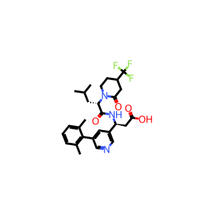 Cc1cccc(C)c1-c1cncc([C@H](CC(=O)O)NC(=O)[C@H](CC(C)C)N2CCC(C(F)(F)F)CC2=O)c1